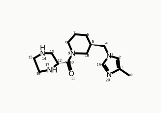 Cc1cn(C[C@@H]2CCCN(C(=O)[C@H]3CNCCN3)C2)cn1